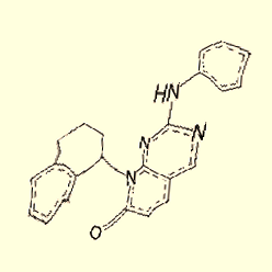 O=c1ccc2cnc(Nc3ccccc3)nc2n1C1CCCc2ccccc21